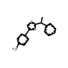 CC(c1ccccc1)c1nc(-c2ccc(N)cc2)cs1